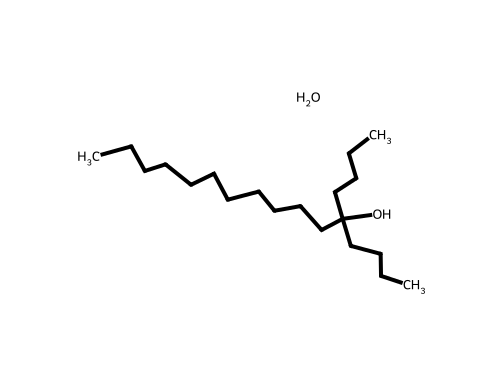 CCCCCCCCCCCC(O)(CCCC)CCCC.O